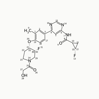 Cc1cc(-c2cc(NC(=O)C3C[C@@H]3F)ncn2)ccc1O[C@H]1CCN(C(=O)CO)C[C@H]1F